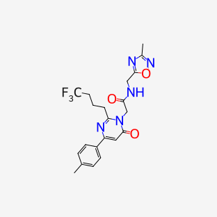 Cc1ccc(-c2cc(=O)n(CC(=O)NCc3nc(C)no3)c(CCCC(F)(F)F)n2)cc1